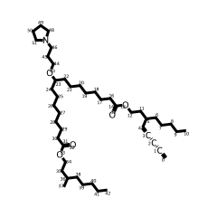 C=C=C=C=CC(CCCCC)CCOC(=O)CCCCCCCC(CCCCCCCC(=O)OCCC(C)CCCCC)OCCCN1CCCC1